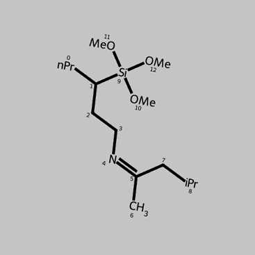 CCCC(CCN=C(C)CC(C)C)[Si](OC)(OC)OC